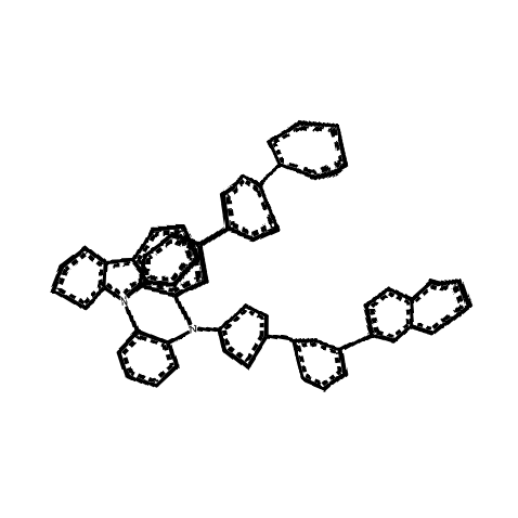 c1ccc(-c2ccc(-c3cccc(N(c4ccc(-c5cccc(-c6ccc7ccccc7c6)c5)cc4)c4ccccc4-n4c5ccccc5c5ccccc54)c3)cc2)cc1